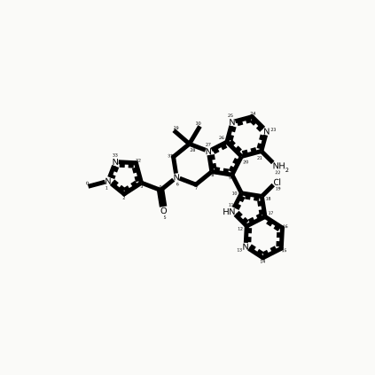 Cn1cc(C(=O)N2Cc3c(-c4[nH]c5ncccc5c4Cl)c4c(N)ncnc4n3C(C)(C)C2)cn1